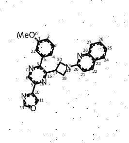 COc1cccc(-c2ncc(-c3cocn3)nc2C2CN(c3ccc4ccccc4n3)C2)c1